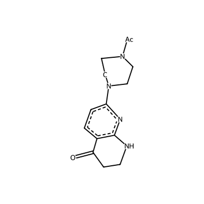 CC(=O)N1CCN(c2ccc3c(n2)NCCC3=O)CC1